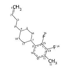 C=CCCC1CCC(c2ccc(C)c(F)c2F)CC1